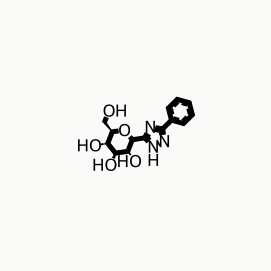 OC[C@H]1OC(c2nc(-c3ccccc3)n[nH]2)[C@H](O)[C@@H](O)[C@@H]1O